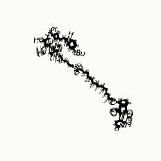 CC(C)N(C[C@H]1O[C@@H](n2cc(C#N)c3c(NCCCCNC(=O)CCCCCCCCCCCCCCCOc4cccc5c4C(=O)N(C4CCC(=O)NC4=O)C5=O)ncnc32)[C@@H](O)[C@H]1O)C1CC(CCc2nc3cc(C(C)(C)C)ccc3[nH]2)C1